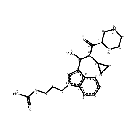 CC(c1cn(CCCNC(=O)O)c2ncccc12)N(C(=O)[C@H]1CNCCO1)C1CC1